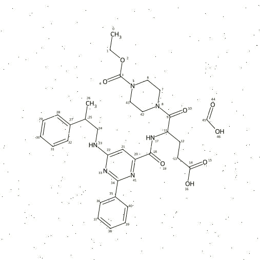 CCOC(=O)N1CCN(C(=O)C(CCC(=O)O)NC(=O)c2cc(NCC(C)c3ccccc3)nc(-c3ccccc3)n2)CC1.O=CO